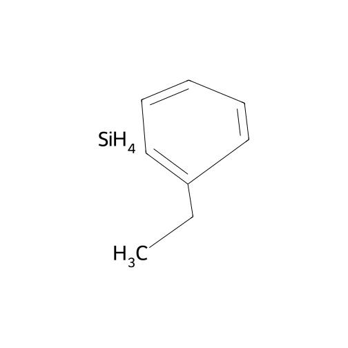 CCc1ccccc1.[SiH4]